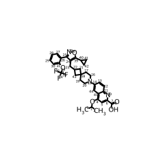 CC(C)Oc1cc(C(=O)O)nc2ccc(N3CCC4(CC3)CC(Cc3c(-c5ccccc5OC(F)(F)F)noc3C3CC3)C4)cc12